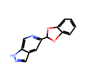 c1ccc2c(c1)OC(c1cc3cn[nH]c3cn1)O2